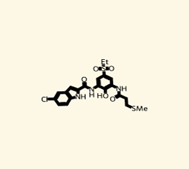 CCS(=O)(=O)c1cc(NC(=O)CCSC)c(O)c(NC(=O)c2cc3cc(Cl)ccc3[nH]2)c1